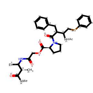 CCC(NC(=O)COC(=O)[C@@H]1CCCN1C(=O)C(Cc1ccccc1)C(CSc1ccccc1)NC(C)=O)[C@H](C)C(=O)NC